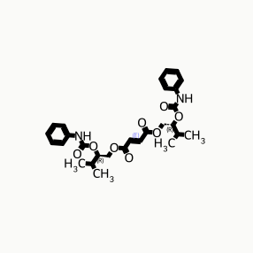 CC(C)[C@H](COC(=O)/C=C/C(=O)OC[C@H](OC(=O)Nc1ccccc1)C(C)C)OC(=O)Nc1ccccc1